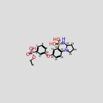 CCOP(=O)(O)c1cccc(Oc2ccc3c(c2)S(O)(O)NC2CCCN32)c1